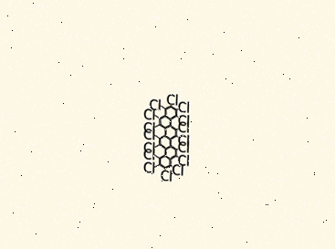 Clc1c(Cl)c(Cl)c2c(c1Cl)c(Cl)c(Cl)c1c2c(Cl)c(Cl)c2c3c(Cl)c(Cl)c4c(Cl)c(Cl)c(Cl)c(Cl)c4c3c(Cl)c(Cl)c12